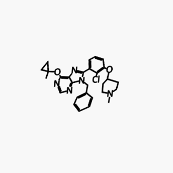 CN1CCC(Oc2cccc(-c3nc4c(OC5(C)CC5)ncnc4n3Cc3ccccc3)c2Cl)CC1